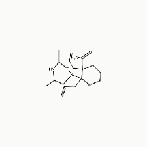 C=CCC1(C(N)=O)CCC[N]C1(CC=C)N1CC(C)NC(C)C1